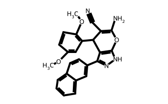 COc1ccc(OC)c(C2C(C#N)=C(N)Oc3[nH]nc(-c4ccc5ccccc5c4)c32)c1